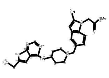 CNC(=O)Cn1c(C#N)cc2cc(CN3CCC(Nc4ncnc5sc(CC(F)(F)F)cc45)CC3)ccc21